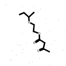 CCC(C)OCCOC(=O)CC(C)=O